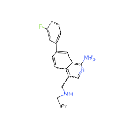 CC(C)CNCc1cnc(N)c2cc(-c3cccc(F)c3)ccc12